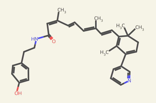 CC1=C(/C=C/C(C)=C/C=C/C(C)=C\C(=O)NCCc2ccc(O)cc2)C(C)(C)CC=C1c1cccnc1